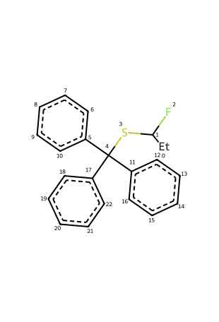 CCC(F)SC(c1ccccc1)(c1ccccc1)c1ccccc1